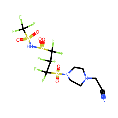 N#CCN1CCN(S(=O)(=O)C(F)(F)C(F)(F)C(F)(F)S(=O)(=O)NS(=O)(=O)C(F)(F)F)CC1